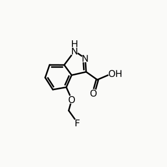 O=C(O)c1n[nH]c2cccc(OCF)c12